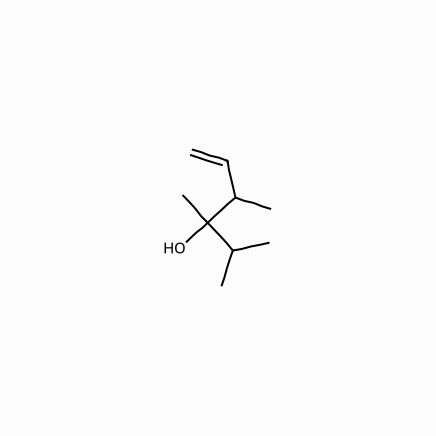 C=CC(C)C(C)(O)C(C)C